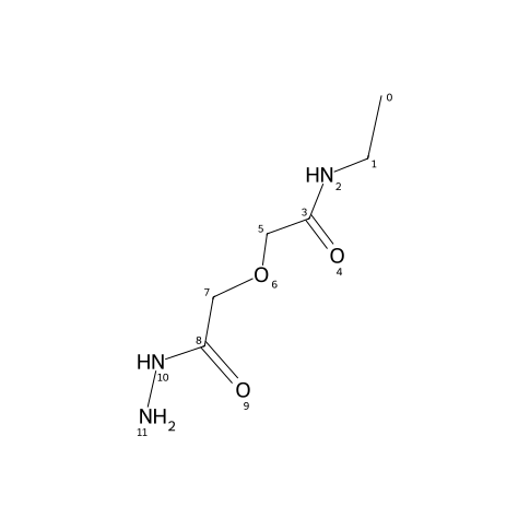 CCNC(=O)COCC(=O)NN